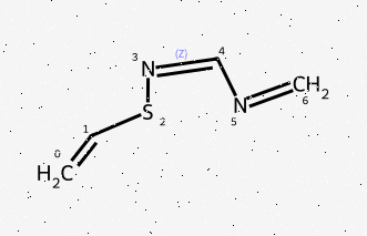 C=CS/N=C\N=C